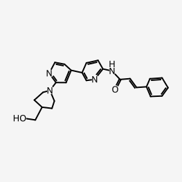 O=C(C=Cc1ccccc1)Nc1ccc(-c2ccnc(N3CCC(CO)CC3)c2)cn1